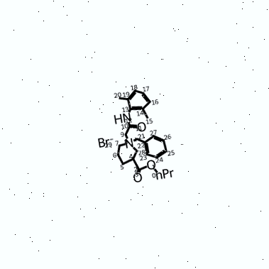 CCCOC(=O)C1CCC[N+](CC(=O)Nc2c(C)cccc2C)(Cc2ccccc2)C1.[Br-]